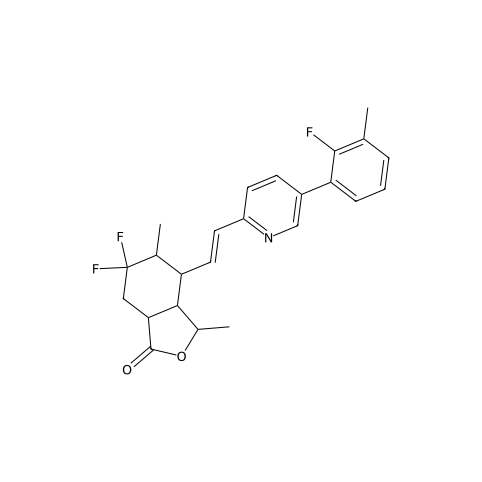 Cc1cccc(-c2ccc(C=CC3C4C(C)OC(=O)C4CC(F)(F)C3C)nc2)c1F